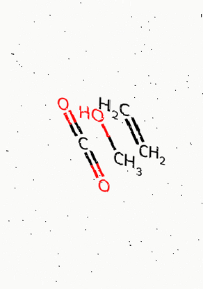 C=C.CO.O=C=O